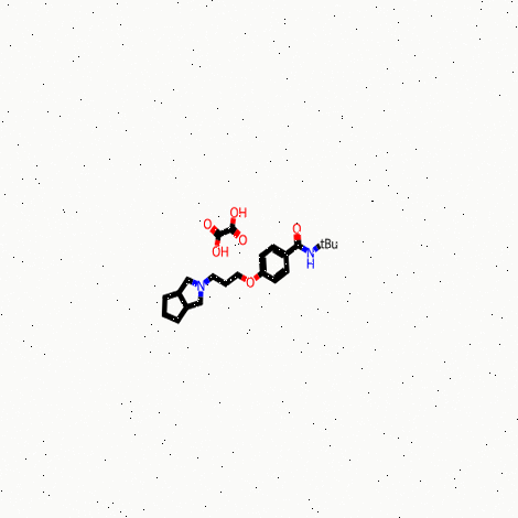 CC(C)(C)NC(=O)c1ccc(OCCCN2CC3CCCC3C2)cc1.O=C(O)C(=O)O